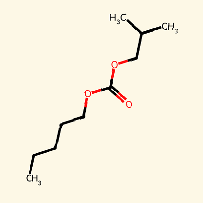 CCCCCOC(=O)OCC(C)C